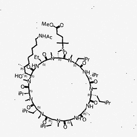 CC[C@@H]1NC(=O)[C@H]([C@H](O)[C@H](C)CCCCCCNC(C)=O)N(C)C(=O)[C@H](C(C)C)N(C)C(=O)[C@H](CC(C)C)N(C)C(=O)[C@@H](CC(C)C)N(C)C(=O)[C@H](C)NC(=O)[C@@H](C)NC(=O)[C@@H](CCC(C)C)N(C)C(=O)[C@@H](C(C)C)NC(=O)[C@H](CC(C)C)N(C)C(=O)[C@@H](CSC(C)(C)CCC(=O)OC)N(C)C1=O